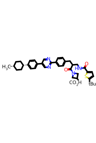 CC(C)(C)c1ccc(C(=O)NCC(Cc2ccc(-c3ncc(-c4ccc([C@H]5CC[C@@H](C)CC5)cc4)cn3)cc2)C(=O)N2CC(C(=O)O)C2)s1